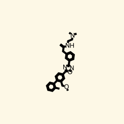 C=C(Cc1cccc(-c2noc(-c3ccc(-c4ccccc4C)c(COC)c3)n2)c1)NCCN(C)C